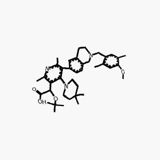 COc1cc(C)c(CN2CCc3cc(-c4c(C)nc(C)c(C(OC(C)(C)C)C(=O)O)c4N4CCC(C)(C)CC4)ccc3C2)cc1C